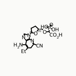 CCC1=C(N)c2ncn([C@H]3CC[C@@H](COC(C(=O)O)P(=O)(O)O)O3)c2N=C(C#N)C1